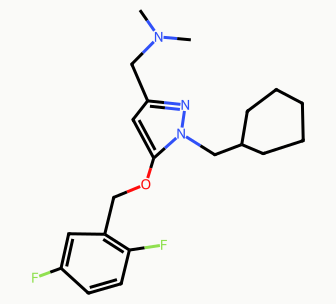 CN(C)Cc1cc(OCc2cc(F)ccc2F)n(CC2CCCCC2)n1